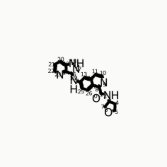 O=C(NC1CCOC1)c1nccc2cc(Nc3n[nH]c4cccnc34)ccc12